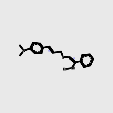 CCN/C(=C\SC/C=C/c1ccc(N(C)C)cc1)c1ccccc1